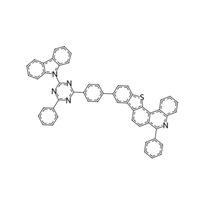 c1ccc(-c2nc(-c3ccc(-c4ccc5sc6c(ccc7c(-c8ccccc8)nc8ccccc8c76)c5c4)cc3)nc(-n3c4ccccc4c4ccccc43)n2)cc1